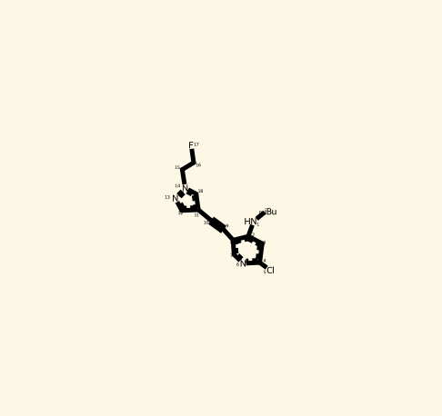 CCC(C)Nc1cc(Cl)ncc1C#Cc1cnn(CCF)c1